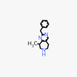 CC1CNCCc2cnc(Cc3ccccc3)nc21